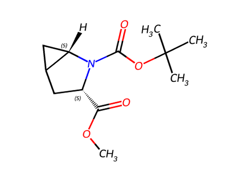 COC(=O)[C@@H]1CC2C[C@@H]2N1C(=O)OC(C)(C)C